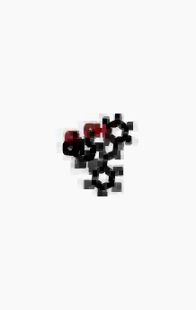 C(=Cc1ccccc1)c1ccccc1.C=O.Oc1ccccc1